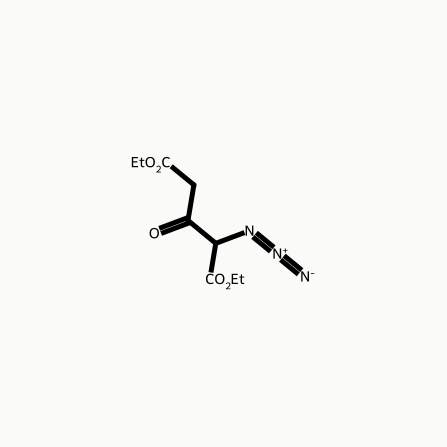 CCOC(=O)CC(=O)C(N=[N+]=[N-])C(=O)OCC